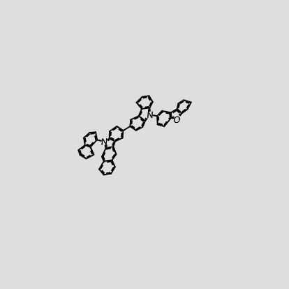 c1ccc2cc3c(cc2c1)c1cc(-c2ccc4c(c2)c2ccccc2n4-c2ccc4oc5ccccc5c4c2)ccc1n3-c1cccc2ccccc12